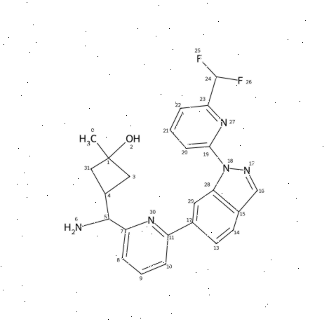 CC1(O)CC(C(N)c2cccc(-c3ccc4cnn(-c5cccc(C(F)F)n5)c4c3)n2)C1